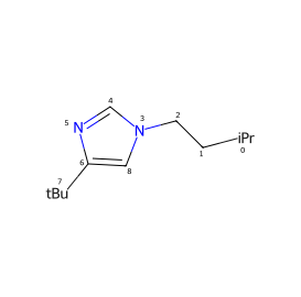 CC(C)CCn1cnc(C(C)(C)C)c1